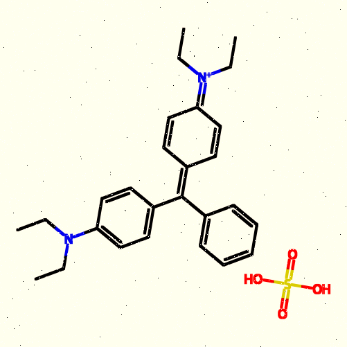 CCN(CC)c1ccc(C(=C2C=CC(=[N+](CC)CC)C=C2)c2ccccc2)cc1.O=S(=O)(O)O